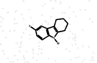 Fc1ccc2c(c1)c1c(n2Br)CCCC1